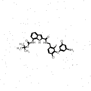 CC(C)(C)OC(=O)Nc1cccc2cc(C(=O)NCc3ccc(Cl)c(Oc4cc(N)cc(Cl)c4)c3F)[nH]c12